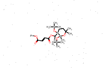 CCC(OC(=O)C=CC(=O)OC(C)C)[Si]1(O[Si](C)(C)C)CCC(C)(C)O[Si]1(C)O[Si](C)(C)C